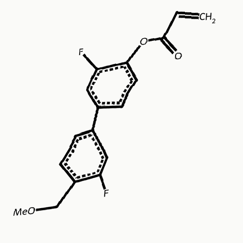 C=CC(=O)Oc1ccc(-c2ccc(COC)c(F)c2)cc1F